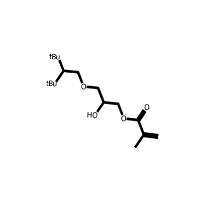 C=C(C)C(=O)OCC(O)COCC(C(C)(C)C)C(C)(C)C